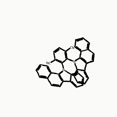 N#Cc1ccc(C#N)c(-n2c3ccccc3c3ccc4ccccc4c32)c1-n1c2ccccc2c2ccc3ccccc3c21